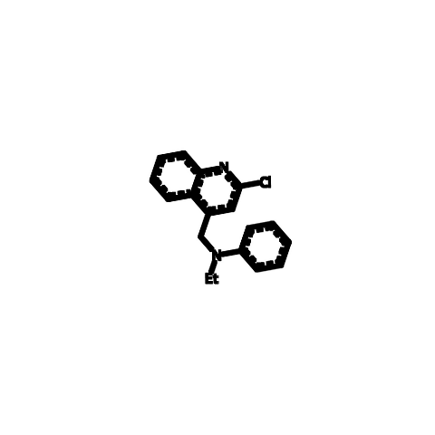 CCN(Cc1cc(Cl)nc2ccccc12)c1ccccc1